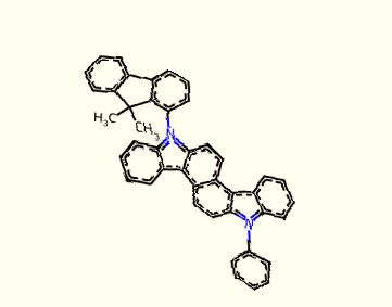 CC1(C)c2ccccc2-c2cccc(-n3c4ccccc4c4c5ccc6c(c5ccc43)c3ccccc3n6-c3ccccc3)c21